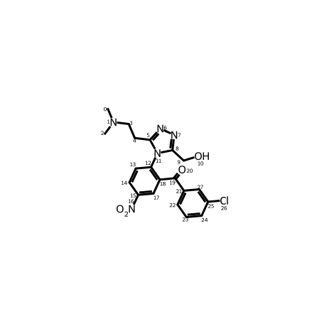 CN(C)CCc1nnc(CO)n1-c1ccc([N+](=O)[O-])cc1C(=O)c1cccc(Cl)c1